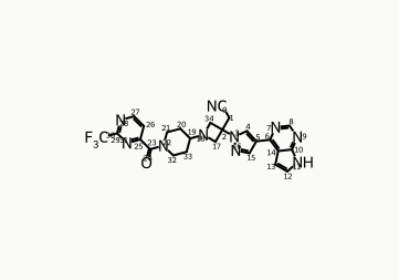 N#CCC1(n2cc(-c3ncnc4[nH]ccc34)cn2)CN(C2CCN(C(=O)c3ccnc(C(F)(F)F)n3)CC2)C1